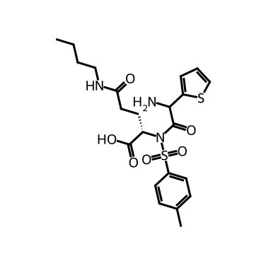 CCCCNC(=O)CC[C@@H](C(=O)O)N(C(=O)C(N)c1cccs1)S(=O)(=O)c1ccc(C)cc1